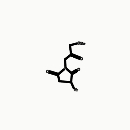 COCC(=O)CN1C(=O)CC(C(C)C)C1=O